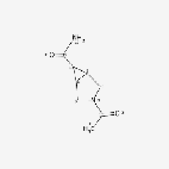 CC(=O)N1CC2C(C1)C2C(N)=O